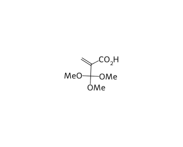 C=C(C(=O)O)C(OC)(OC)OC